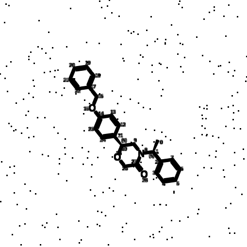 C[C@@H](c1ccccc1)N1C[C@H](c2ccc(OCc3ccccc3)cc2)OCC1=O